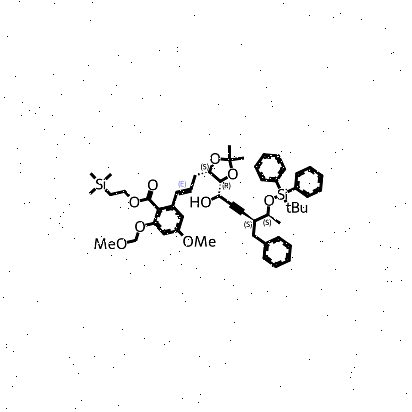 COCOc1cc(OC)cc(/C=C/C[C@@H]2OC(C)(C)O[C@@H]2C(O)C#C[C@H](Cc2ccccc2)[C@H](C)O[Si](c2ccccc2)(c2ccccc2)C(C)(C)C)c1C(=O)OCC[Si](C)(C)C